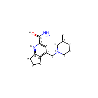 CC1CCCN(Cc2cc(C(N)=O)nc3c2CCC3)C1